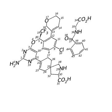 Nc1nc(O[C@H](c2ccc(Cl)cc2C2=CCCOC2)C(F)(F)F)cc(C2=CCC3(CC2)CNC(C(=O)O)C3)n1.O=C(O)CNC(=O)c1ccccc1